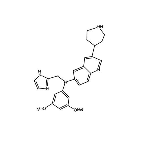 COc1cc(OC)cc(N(Cc2ncc[nH]2)c2ccc3ncc(C4CCNCC4)cc3c2)c1